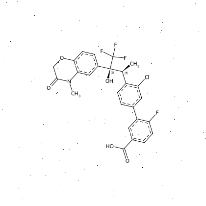 C[C@@H](c1ccc(-c2cc(C(=O)O)ccc2F)cc1Cl)[C@](O)(c1ccc2c(c1)N(C)C(=O)CO2)C(F)(F)F